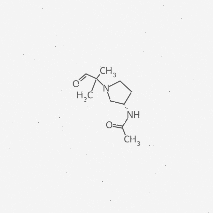 CC(=O)N[C@H]1CCN(C(C)(C)C=O)C1